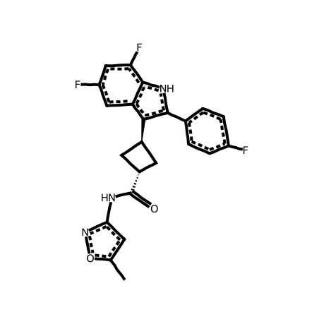 Cc1cc(NC(=O)[C@H]2C[C@H](c3c(-c4ccc(F)cc4)[nH]c4c(F)cc(F)cc43)C2)no1